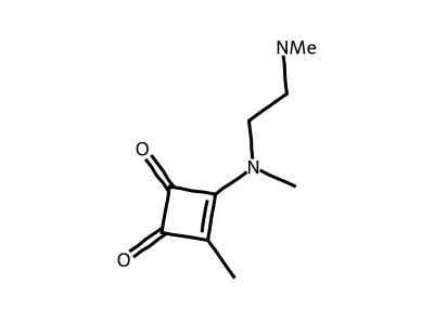 CNCCN(C)c1c(C)c(=O)c1=O